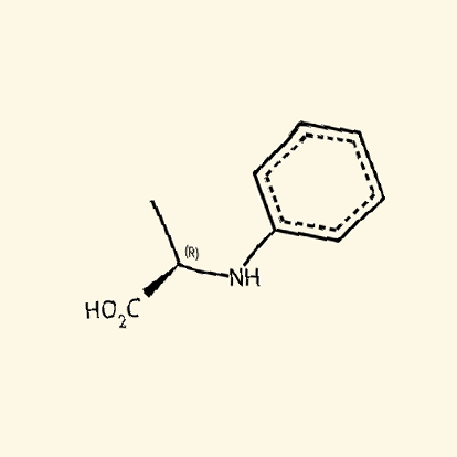 C[C@@H](Nc1ccccc1)C(=O)O